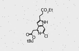 CCOC(=O)CCc1cc2c(CC(=O)OC(C)(C)C)nc(Cl)cc2[nH]1